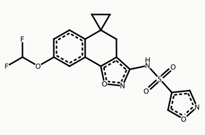 O=S(=O)(Nc1noc2c1CC1(CC1)c1ccc(OC(F)F)cc1-2)c1cnoc1